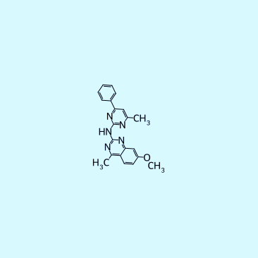 COc1ccc2c(C)nc(Nc3nc(C)cc(-c4ccccc4)n3)nc2c1